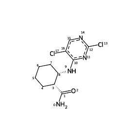 NC(=O)[C@@H]1CCCC[C@@H]1Nc1nc(Cl)ncc1Cl